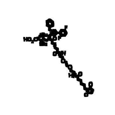 CC(C)(C)C1C(CN(C(=O)CSCCC(=O)NCCOCCOCCNC(=O)CCCCCN2C(=O)C=CC2=O)[C@@H](c2cc(-c3cc(F)ccc3F)cn2Cc2ccccc2)C(C)(C)C)CCN1C(=O)O